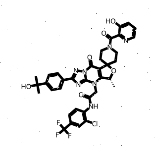 C[C@H]1OC2(CCN(C(=O)c3ncccc3O)CC2)c2c1n(CC(=O)Nc1ccc(C(F)(F)F)cc1Cl)c1nc(-c3ccc(C(C)(C)O)cc3)nn1c2=O